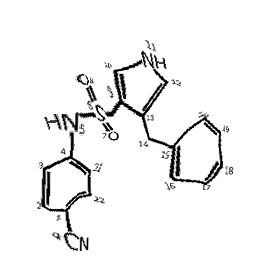 N#Cc1ccc(NS(=O)(=O)c2c[nH]cc2Cc2ccccc2)cc1